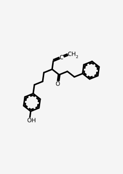 C=C=CC(CCCc1ccc(O)cc1)C(=O)CCc1ccccc1